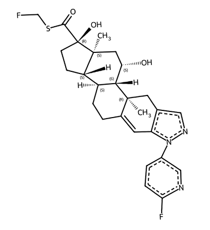 C[C@]12Cc3cnn(-c4ccc(F)nc4)c3C=C1CC[C@@H]1[C@@H]2[C@@H](O)C[C@@]2(C)[C@H]1CC[C@]2(O)C(=O)SCF